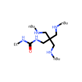 CCCCNCC(CNCCCC)(CNCCCC)CNC(=O)NCC